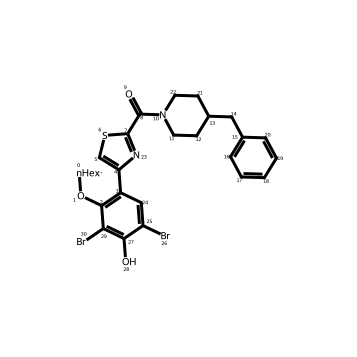 CC[CH]CC[CH]Oc1c(-c2csc(C(=O)N3CCC(Cc4ccccc4)CC3)n2)cc(Br)c(O)c1Br